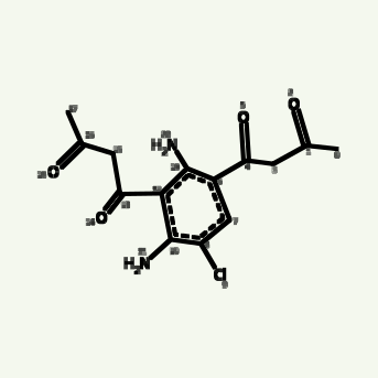 CC(=O)CC(=O)c1cc(Cl)c(N)c(C(=O)CC(C)=O)c1N